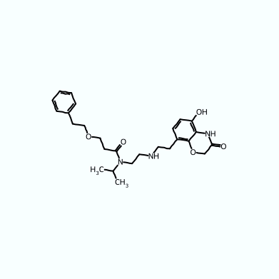 CC(C)N(CCNCCc1ccc(O)c2c1OCC(=O)N2)C(=O)CCOCCc1ccccc1